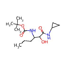 CCCC(NC(=O)OC(C)(C)C)C(O)C(=O)NC1CC1